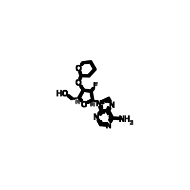 Nc1ncnc2c1ncn2[C@@H]1O[C@H](CO)C(OC2CCCCO2)C1F